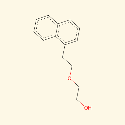 OCCOCCc1cccc2ccccc12